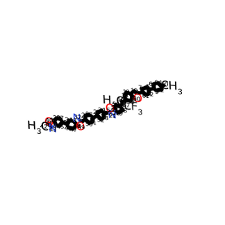 Cc1ccc(-c2ccc(-c3cc4ccc(C(C)(c5ccc6nc(-c7ccc(-c8ccc(-c9nc%10cc(-c%11ccc%12oc(C)nc%12c%11)ccc%10o9)cc8)cc7)oc6c5)C(F)(F)F)cc4o3)cc2)cc1